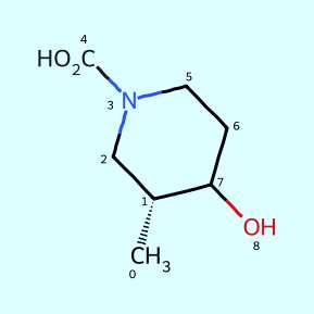 C[C@@H]1CN(C(=O)O)CCC1O